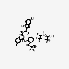 Cc1ccc2nc(NC(=O)c3cc4cc(Cl)ccc4[nH]3)nc(NC3CCCCC3NC(=N)N)c2c1.O=C(O)C(F)(F)F.O=C(O)C(F)(F)F